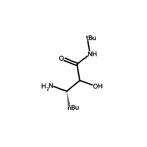 CCCC[C@H](N)C(O)C(=O)NC(C)(C)C